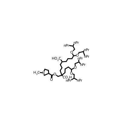 CCCC(CCC)COC(CCCC(CCCC(CCCC(OCC(CCC)CCC)OCC(CCC)CCC)(COC(=O)C1CCN(C)C1)C(=O)O)C(=O)O)OCC(CCC)CCC